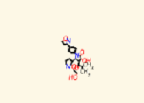 CC(C)C(=O)C1=C(O)C(=O)N(c2ccc(-c3ccon3)cc2)C1c1cccnc1OCCO